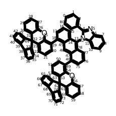 c1ccc(-c2nc3ccccc3n2-c2c3cccc(-c4cccc5c4Oc4ccccc4C54c5ccccc5-c5ccccc54)c3cc3c(-c4cccc5c4Oc4ccccc4C54c5ccccc5-c5ccccc54)cccc23)cc1